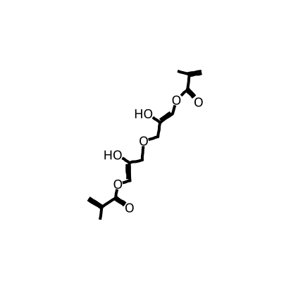 C=C(C)C(=O)OC=C(O)COCC(O)=COC(=O)C(=C)C